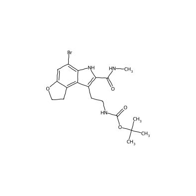 CNC(=O)c1[nH]c2c(Br)cc3c(c2c1CCNC(=O)OC(C)(C)C)CCO3